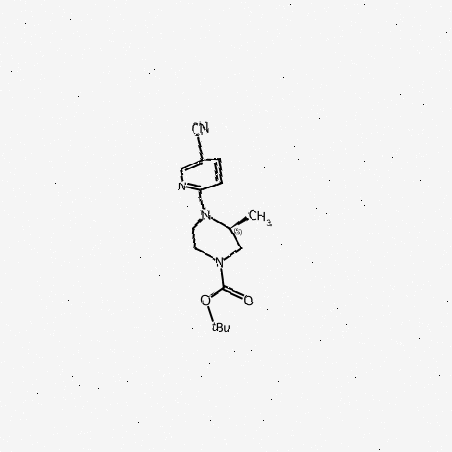 C[C@H]1CN(C(=O)OC(C)(C)C)CCN1c1ccc(C#N)cn1